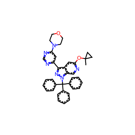 CC1(Oc2cc3c(-c4cc(N5CCOCC5)ncn4)nn(C(c4ccccc4)(c4ccccc4)c4ccccc4)c3cn2)CC1